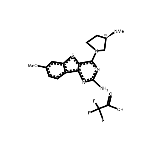 CN[C@@H]1CCN(c2nc(N)nc3c2sc2cc(OC)ccc23)C1.O=C(O)C(F)(F)F